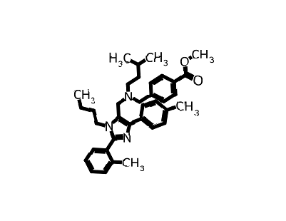 CCCCn1c(-c2ccccc2C)nc(-c2ccc(C)cc2)c1CN(CCC(C)C)Cc1ccc(C(=O)OC)cc1